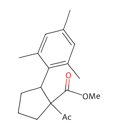 COC(=O)C1(C(C)=O)CCCC1c1c(C)cc(C)cc1C